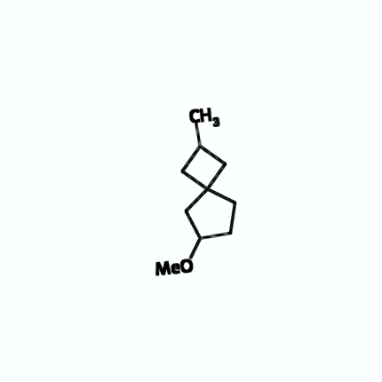 COC1CCC2(CC(C)C2)C1